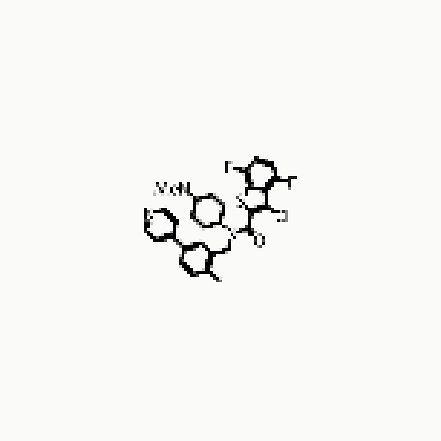 CN[C@H]1CC[C@@H](N(Cc2cc(-c3ccncc3)ccc2C)C(=O)c2sc3c(F)ccc(F)c3c2Cl)CC1